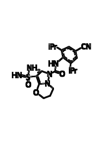 CC(C)c1cc(C#N)cc(C(C)C)c1NC(=O)N1CC(S(=N)(N)=O)=C2OCCCN21